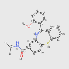 COc1ccccc1C1=Nc2cc(C(=O)NC(C)C)ccc2Sc2ccccc21